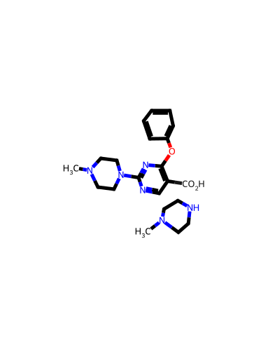 CN1CCN(c2ncc(C(=O)O)c(Oc3ccccc3)n2)CC1.CN1CCNCC1